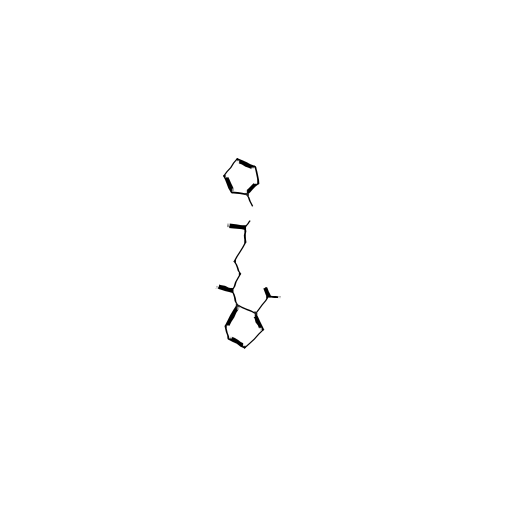 O=C(CCCC(=O)c1ccccc1C(=O)O)Oc1ccccc1